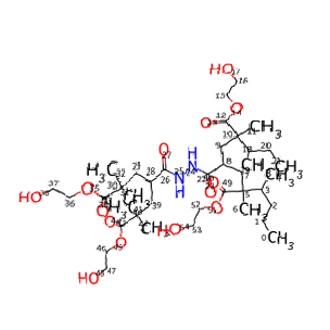 CCCC(C)C(C)(CC(CC(C)(C(=O)OCCO)C(C)CC)C(=O)NNC(=O)C(CC(C)(C)C(=O)OCCO)CC(C)(C)C(=O)OCCO)C(=O)OCCO